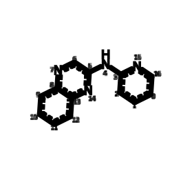 c1ccc(Nc2cnc3ccccc3n2)nc1